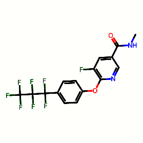 CNC(=O)c1cnc(Oc2ccc(C(F)(F)C(F)(F)C(F)(F)F)cc2)c(F)c1